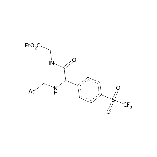 CCOC(=O)CNC(=O)C(NCC(C)=O)c1ccc(S(=O)(=O)C(F)(F)F)cc1